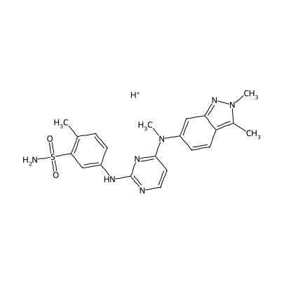 Cc1ccc(Nc2nccc(N(C)c3ccc4c(C)n(C)nc4c3)n2)cc1S(N)(=O)=O.[H+]